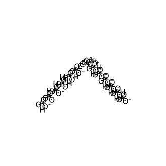 O=[PH]([O-])[O-].O=[PH]([O-])[O-].O=[PH]([O-])[O-].O=[PH]([O-])[O-].O=[PH]([O-])[O-].O=[PH]([O-])[O-].O=[PH]([O-])[O-].O=[PH]([O-])[O-].O=[PH]([O-])[O-].O=[PH]([O-])[O-].O=[PH]([O-])[O-].O=[PH]([O-])[O-].[C+4].[C+4].[C+4].[C+4].[C+4].[C+4]